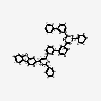 c1ccc(-c2cccc(-c3nc(-c4ccccc4)nc(-c4cccc(-c5cccc(-c6cc(-c7ccc8c(c7)oc7ccccc78)nc(-c7ccccc7)n6)c5)c4)n3)c2)cc1